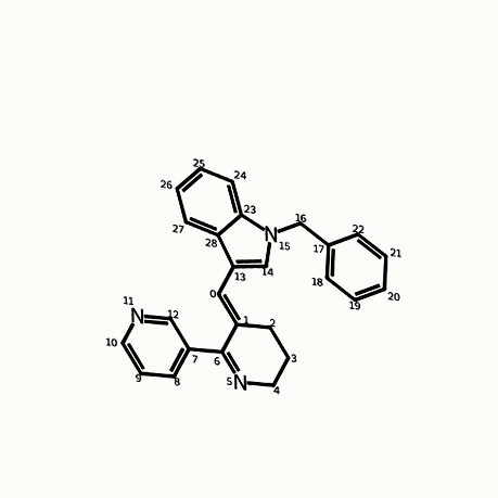 C(=C1CCCN=C1c1cccnc1)c1cn(Cc2ccccc2)c2ccccc12